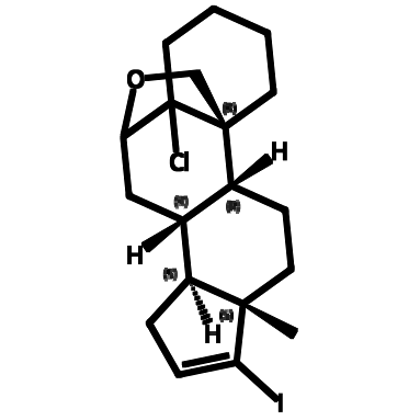 C[C@]12CC[C@@H]3[C@@H](CC4OC[C@@]35CCCCC45Cl)[C@@H]1CC=C2I